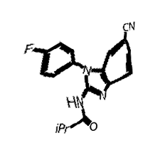 CC(C)C(=O)Nc1nc2ccc(C#N)cc2n1-c1ccc(F)cc1